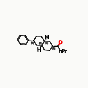 CCCC(=O)[C@H]1CC[C@@H]2C[C@H](c3ccccc3)CC[C@H]2C1